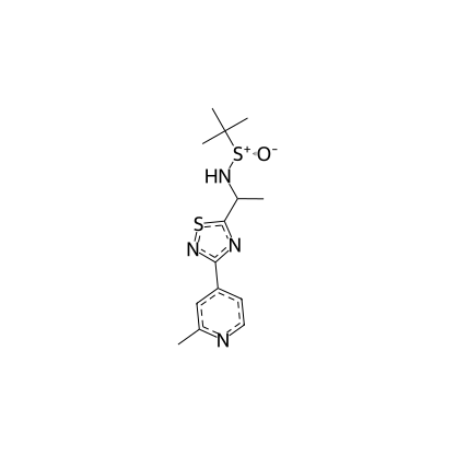 Cc1cc(-c2nsc(C(C)N[S@@+]([O-])C(C)(C)C)n2)ccn1